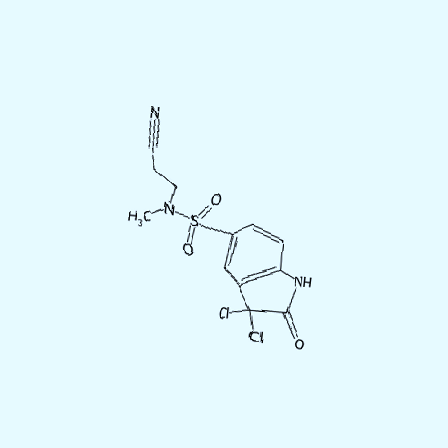 CN(CCC#N)S(=O)(=O)c1ccc2c(c1)C(Cl)(Cl)C(=O)N2